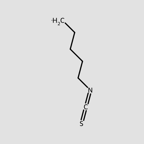 [CH2]CCCCN=C=S